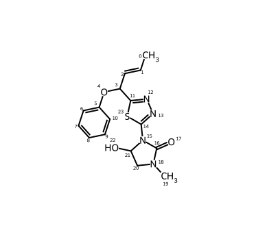 CC=CC(Oc1ccccc1)c1nnc(N2C(=O)N(C)CC2O)s1